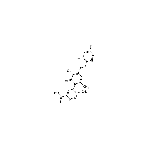 Cc1cnc(C(=O)O)cc1-n1c(C)cc(OCc2ncc(F)cc2F)c(Cl)c1=O